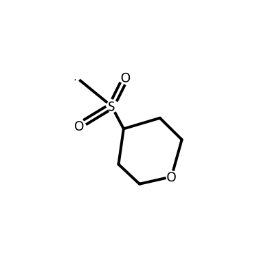 [CH2]S(=O)(=O)C1CCOCC1